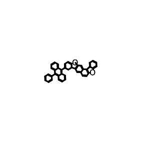 C1=C(c2c3ccccc3c(-c3ccccc3)c3ccccc23)CC2C(=C1)Oc1cc3c(ccc4oc5ccccc5c43)cc12